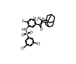 NC(=O)C12CC3CC(C1)C(NC(=O)c1ccc(F)c(NS(=O)(=O)c4cc(Cl)cc(Cl)c4)c1)C(C3)C2